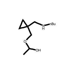 CCCCNCC1(COC(C)O)CC1